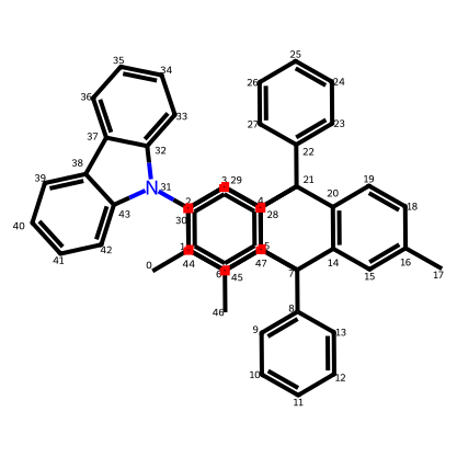 Cc1ccc2c(c1)C1(c3ccccc3)c3cc(C)ccc3C2(c2ccccc2)c2cc(-n3c4ccccc4c4ccccc43)cc(C)c21